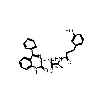 C[C@H](NC(=O)CCc1cccc(O)c1)C(=O)N[C@H]1N=C(c2ccccc2)c2ccccc2N(C)C1=O